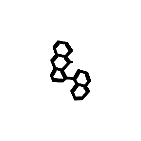 [c]1c2ccccc2cc2cccc(-c3cccc4ccccc34)c12